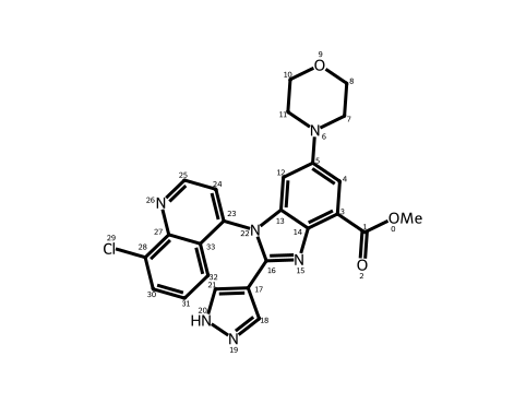 COC(=O)c1cc(N2CCOCC2)cc2c1nc(-c1cn[nH]c1)n2-c1ccnc2c(Cl)cccc12